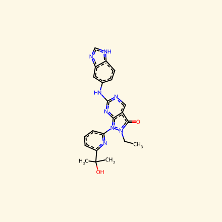 CCn1c(=O)c2cnc(Nc3ccc4[nH]cnc4c3)nc2n1-c1cccc(C(C)(C)O)n1